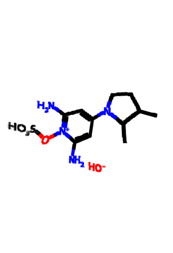 CC1CCN(c2cc(N)[n+](OS(=O)(=O)O)c(N)c2)C1C.[OH-]